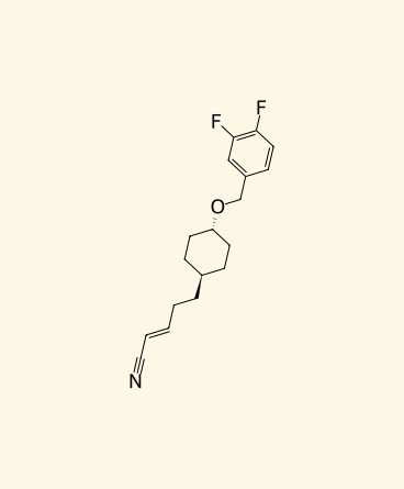 N#CC=CCC[C@H]1CC[C@H](OCc2ccc(F)c(F)c2)CC1